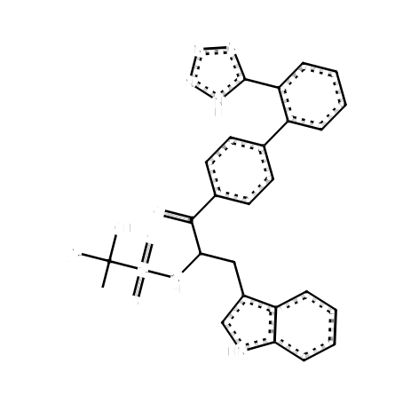 CC(C)(N)S(=O)(=O)NC(Cc1c[nH]c2ccccc12)C(=O)c1ccc(-c2ccccc2-c2nnn[nH]2)cc1